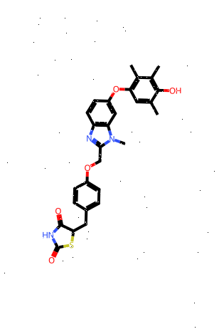 Cc1cc(Oc2ccc3nc(COc4ccc(CC5SC(=O)NC5=O)cc4)n(C)c3c2)c(C)c(C)c1O